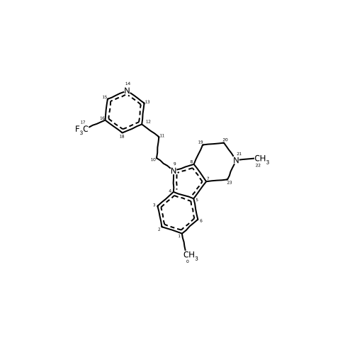 Cc1ccc2c(c1)c1c(n2CCc2cncc(C(F)(F)F)c2)CCN(C)C1